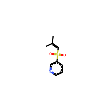 CC(C)=CS(=O)(=O)c1cccnc1